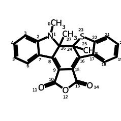 CN1c2ccccc2C2=C3C(=O)OC(=O)C3=C3c4ccccc4SC3(C)C21C